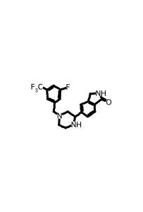 O=C1NCc2cc(C3CN(Cc4cc(F)cc(C(F)(F)F)c4)CCN3)ccc21